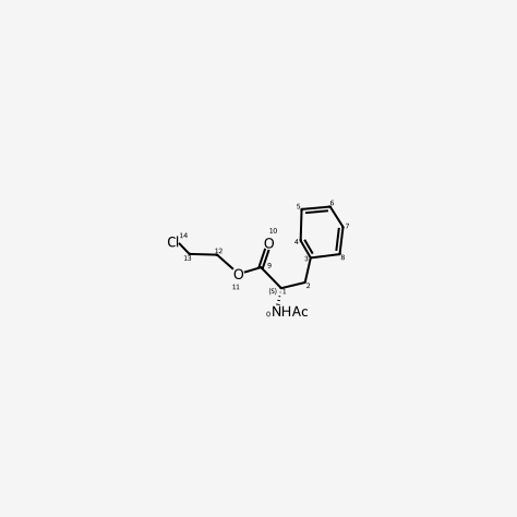 CC(=O)N[C@@H](Cc1ccccc1)C(=O)OCCCl